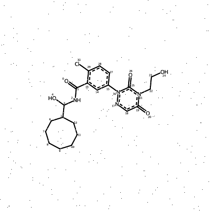 O=C(NC(O)C1CCCCCCC1)c1cc(-n2ncc(=O)n(CCO)c2=O)ccc1Cl